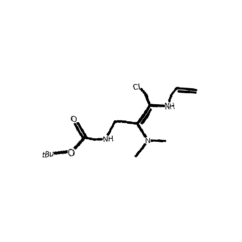 C=CN/C(Cl)=C(/CNC(=O)OC(C)(C)C)N(C)C